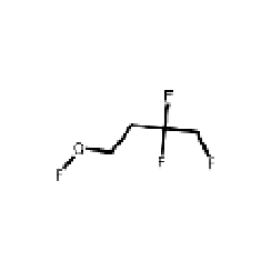 FCC(F)(F)CCOF